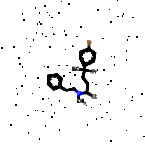 CCC(CCC(C#N)(c1ccc(Br)cc1)C(C)C)N(C)CCc1ccccc1